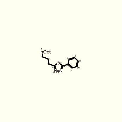 CCCCCCCCCCCc1nnc(-c2cc[c]cc2)s1